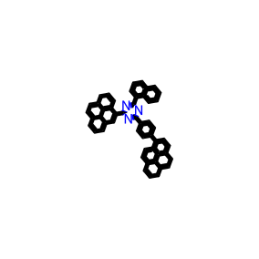 C1=CC2=CC=C3CC=CC4=C3C2C(=C1)C=C4c1nc(-c2ccc(-c3ccc4c5c6c(ccc35)C=CCC6=CC4)cc2)nc(-c2cccc3ccccc23)n1